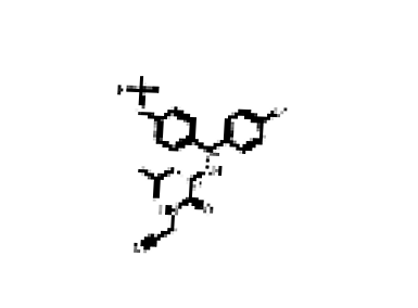 CC(C)C[C@H](N[C@@H](c1ccc(Br)cc1)c1ccc(OC(F)(F)F)cc1)C(=O)NCC#N